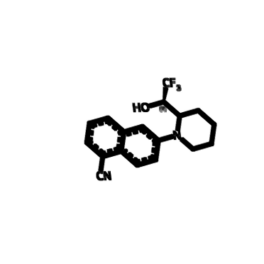 N#Cc1cccc2cc(N3CCCCC3[C@@H](O)C(F)(F)F)ccc12